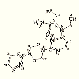 CC(C)C[C@@H](C(N)=O)N(CC#N)c1ccnc(N2CCN(c3ccccn3)CC2)n1